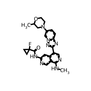 CNc1ncc(-c2nc3ccc(N4CCOC(C)C4)cn3n2)c2cc(NC(=O)C3(F)CC3)ncc12